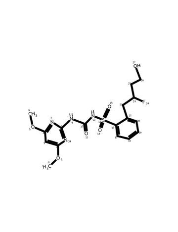 COc1cc(OC)nc(NC(=O)NS(=O)(=O)c2ccccc2CC(F)CCO)n1